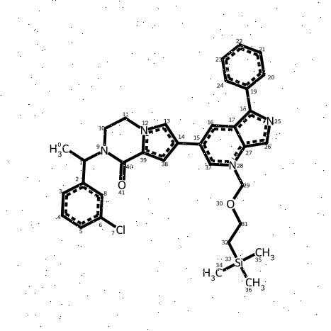 CC(c1cccc(Cl)c1)N1CCn2cc(-c3cc4c(-c5ccccc5)ncc-4n(COCC[Si](C)(C)C)c3)cc2C1=O